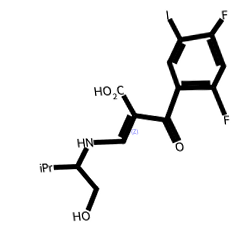 CC(C)C(CO)N/C=C(\C(=O)O)C(=O)c1cc(I)c(F)cc1F